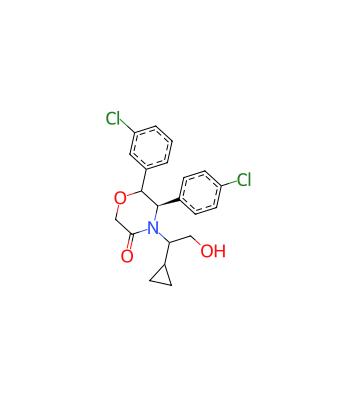 O=C1COC(c2cccc(Cl)c2)[C@@H](c2ccc(Cl)cc2)N1C(CO)C1CC1